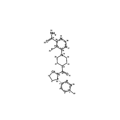 Cc1ccc([C@@H]2CCON2C(=O)C2CCN(c3ncnc(C(N)=O)c3F)CC2)cn1